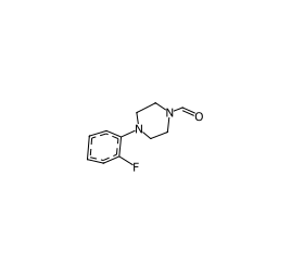 O=CN1CCN(c2ccccc2F)CC1